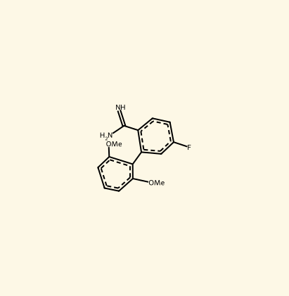 COc1cccc(OC)c1-c1cc(F)ccc1C(=N)N